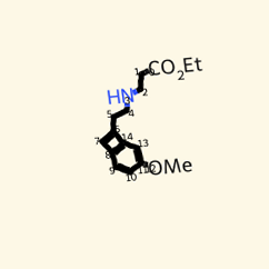 CCOC(=O)CCNCCC1=Cc2ccc(OC)cc21